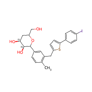 Cc1ccc(C2OC(CO)C[C@H](O)[C@@H]2O)cc1Cc1ccc(-c2ccc(I)cc2)s1